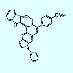 COc1ccc(-c2cc3cc4c(ccn4-c4ccccc4)cc3c3c2ccc2c4ccccc4oc23)cc1